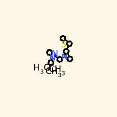 CC(C)(C)c1ccc(-n2c(-c3cccc(-n4c5ccccc5c5cc(-c6cccc7c6sc6ccccc67)ccc54)c3)nc3ccccc32)cc1